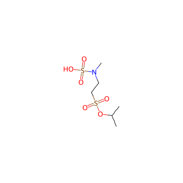 CC(C)OS(=O)(=O)CCN(C)S(=O)(=O)O